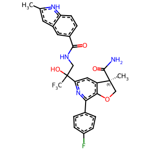 Cc1cc2cc(C(=O)NCC(O)(c3cc4c(c(-c5ccc(F)cc5)n3)OC[C@]4(C)C(N)=O)C(F)(F)F)ccc2[nH]1